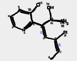 C/C=C(\C=C(\c1ncccc1Cl)N(N)O)CC